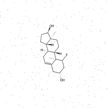 C[C@]12CC[C@H]3[C@@H](CC=C4C[C@@H](O)CC(F)[C@@]43C)[C@@H]1CC[C@H]2O